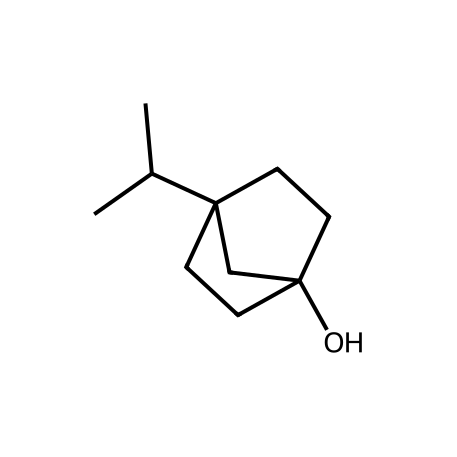 CC(C)C12CCC(O)(CC1)C2